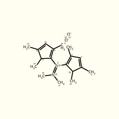 CC1=CC(C)=[C]([Zr+2]([C]2=C(C)C=C(C)C2C)=[Si](C)C)C1C.[Cl-].[Cl-]